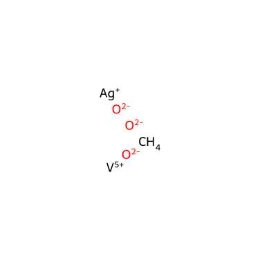 C.[Ag+].[O-2].[O-2].[O-2].[V+5]